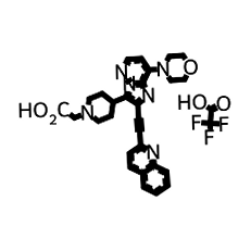 O=C(O)C(F)(F)F.O=C(O)CN1CCC(c2c(C#Cc3ccc4ccccc4n3)nc3c(N4CCOCC4)ccnn23)CC1